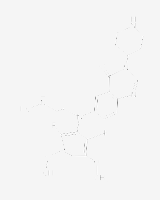 CNCCN(c1ccc2ncn(C3CCNCC3)c(=O)c2c1)c1c(F)c(OC)cc(OC)c1F